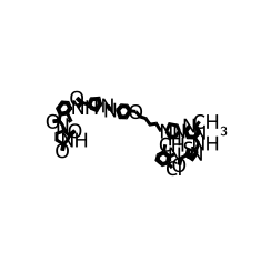 Cc1nc(Nc2ncc(C(=O)Nc3c(C)cccc3Cl)s2)cc(N2CCN(CCCCCOc3ccc(N=Nc4ccc(C(=O)Nc5cccc6c5CN(C5CCC(=O)NC5=O)C6=O)cc4)cc3)CC2)n1